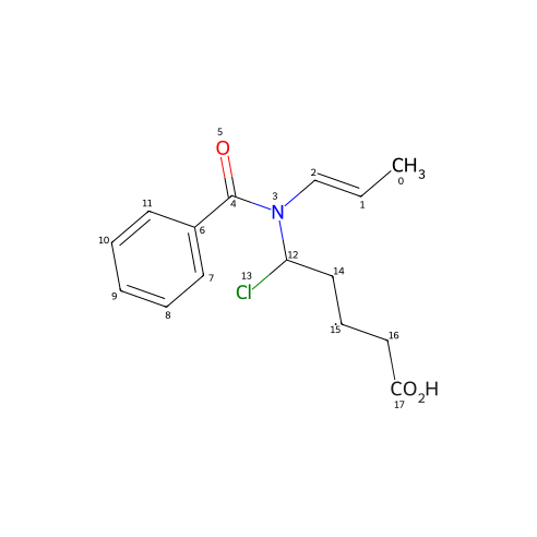 CC=CN(C(=O)c1ccccc1)C(Cl)C[CH]CC(=O)O